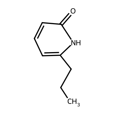 CCCc1cccc(=O)[nH]1